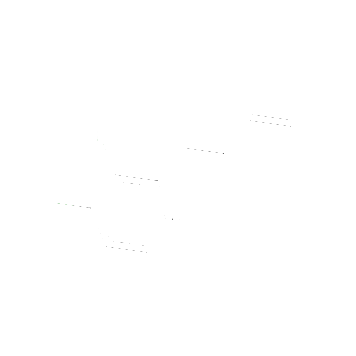 CC=CCCc1cccc(F)c1F